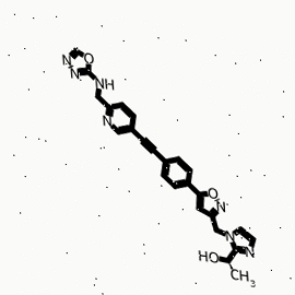 C[C@H](O)c1nccn1Cc1cc(-c2ccc(C#Cc3ccc(CNc4nnco4)nc3)cc2)on1